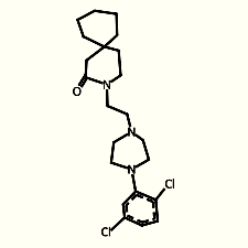 O=C1CC2(CCCCC2)CCN1CCN1CCN(c2cc(Cl)ccc2Cl)CC1